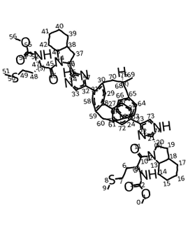 COC(=O)N[C@@H](CCSC)C(=O)N1C2CCCCC2C[C@H]1c1nc(-c2ccc(-c3cc4c(-c5c[nH]c([C@@H]6CC7CCCCC7N6C(=O)[C@H](CCSC)NC(=O)OC)n5)cc3CCc3ccc(cc3)[C@H](C)C4)cc2)c[nH]1